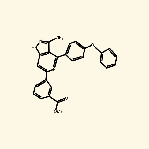 COC(=O)c1cccc(-c2cc3[nH]nc(N)c3c(-c3ccc(Oc4ccccc4)cc3)n2)c1